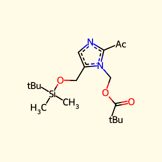 CC(=O)c1ncc(CO[Si](C)(C)C(C)(C)C)n1COC(=O)C(C)(C)C